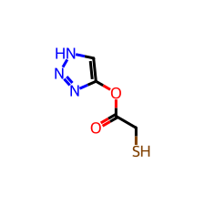 O=C(CS)Oc1c[nH]nn1